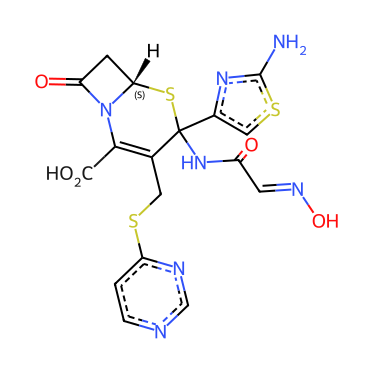 Nc1nc(C2(NC(=O)C=NO)S[C@H]3CC(=O)N3C(C(=O)O)=C2CSc2ccncn2)cs1